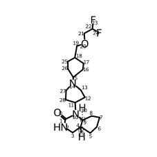 O=C1NC[C@H]2CCCC[C@@H]2N1C1CCN(C2CCC(COCC(F)F)CC2)CC1